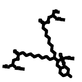 CCCCCCCCS(=O)(=O)N(CC1CCN(C)CC1)C(CCCCCCCCC(=O)OCC(CCCC)CCCCCC)CCCCCCCCC(=O)OCC(CCCC)CCCCCC